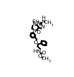 CNc1ncc2c(n1)N(C)CCN(c1cccc(COC(CCNC(=O)OC)c3ccccc3)c1)C2=O